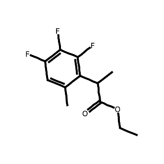 CCOC(=O)C(C)c1c(C)cc(F)c(F)c1F